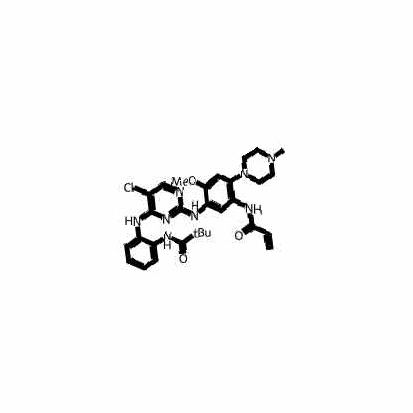 C=CC(=O)Nc1cc(Nc2ncc(Cl)c(Nc3ccccc3NC(=O)C(C)(C)C)n2)c(OC)cc1N1CCN(C)CC1